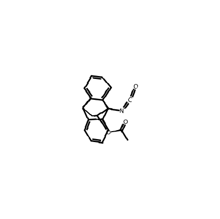 CC(=O)OC1CC2c3ccccc3C1(N=C=O)c1ccccc12